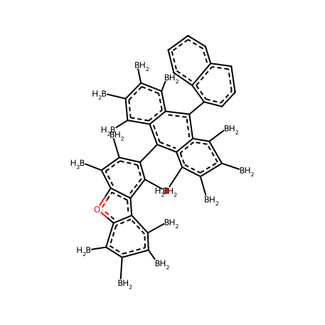 Bc1c(B)c(B)c2c(oc3c(B)c(B)c(-c4c5c(B)c(B)c(B)c(B)c5c(-c5cccc6ccccc56)c5c(B)c(B)c(B)c(B)c45)c(B)c32)c1B